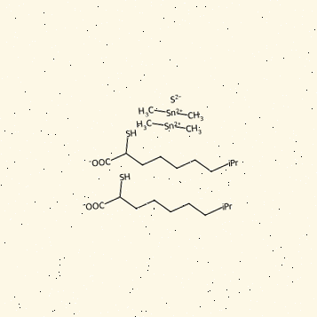 CC(C)CCCCCC(S)C(=O)[O-].CC(C)CCCCCC(S)C(=O)[O-].[CH3][Sn+2][CH3].[CH3][Sn+2][CH3].[S-2]